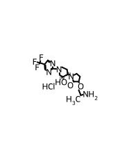 CC(N)COC1CCN([C@H]2CCN(c3ncc(C(F)(F)F)cn3)C[C@H]2O)C1=O.Cl